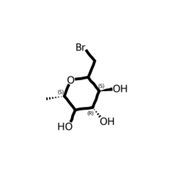 C[C@@H]1OC(CBr)[C@@H](O)[C@H](O)C1O